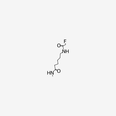 CNC(=O)CCCCCNC(=O)CF